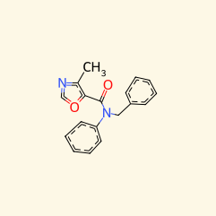 Cc1ncoc1C(=O)N(Cc1ccccc1)c1ccccc1